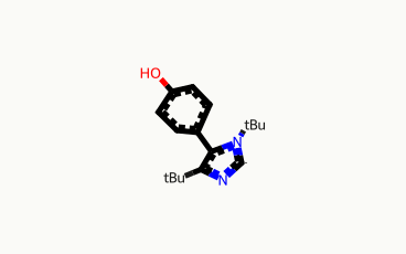 CC(C)(C)c1n[c]n(C(C)(C)C)c1-c1ccc(O)cc1